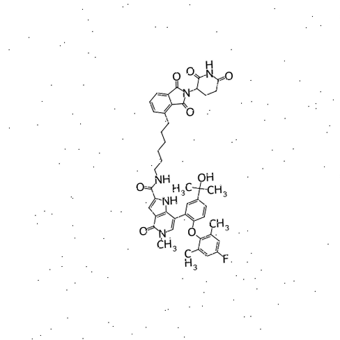 Cc1cc(F)cc(C)c1Oc1ccc(C(C)(C)O)cc1-c1cn(C)c(=O)c2cc(C(=O)NCCCCCCc3cccc4c3C(=O)N(C3CCC(=O)NC3=O)C4=O)[nH]c12